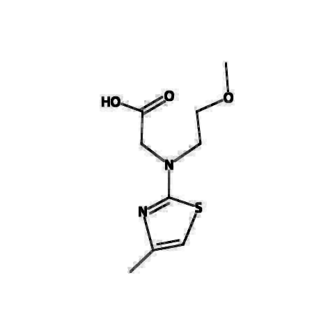 COCCN(CC(=O)O)c1nc(C)cs1